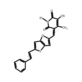 CCN1C(=O)C(C#N)=C(C)/C(=C/c2cc3sc(/C=C/c4ccccc4)cc3o2)C1=O